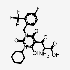 NC(C(=O)O)C(=O)c1c(O)n(C2CCCCC2)c(=O)n(Cc2ccc(F)cc2C(F)(F)F)c1=O